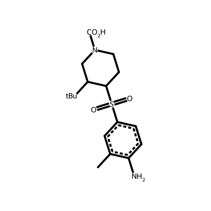 Cc1cc(S(=O)(=O)C2CCN(C(=O)O)CC2C(C)(C)C)ccc1N